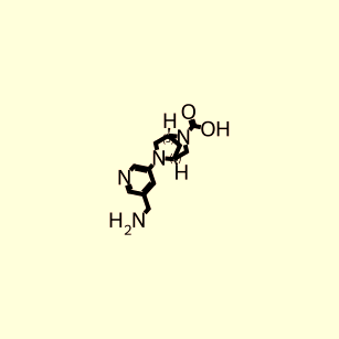 NCc1cncc(N2C[C@@H]3C[C@H]2CN3C(=O)O)c1